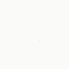 Cc1ccc(C23c4ccccc4C(=O)N2CCN3C(=O)NCc2ccccc2)cc1